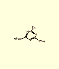 [CH2]Cc1nc(CCCCC)nc(CCCCC)n1